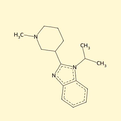 CC(C)n1c(C2CCCN(C)C2)nc2ccccc21